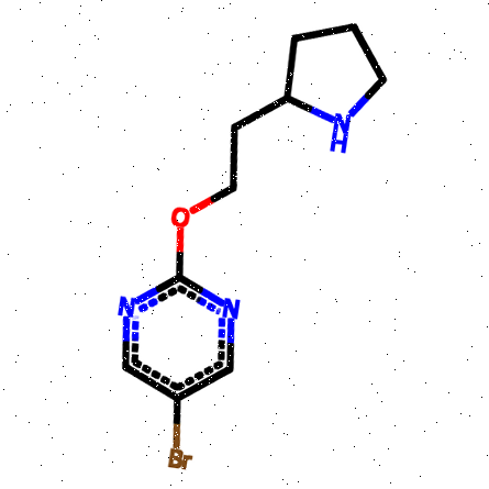 Brc1cnc(OCCC2CCCN2)nc1